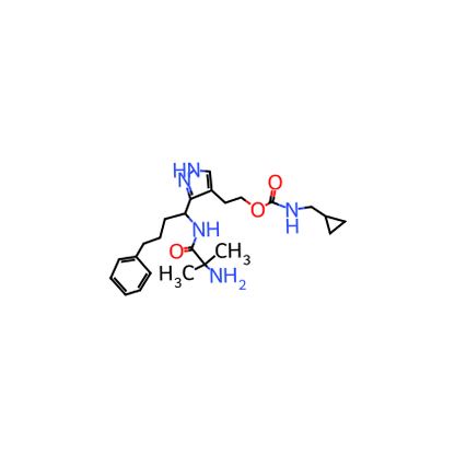 CC(C)(N)C(=O)NC(CCCc1ccccc1)c1n[nH]cc1CCOC(=O)NCC1CC1